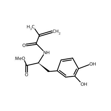 C=C(C)C(=O)N[C@@H](Cc1ccc(O)c(O)c1)C(=O)OC